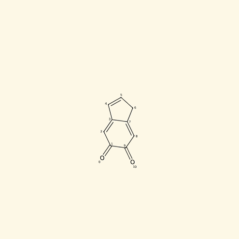 O=C1C=C2C=CCC2=CC1=O